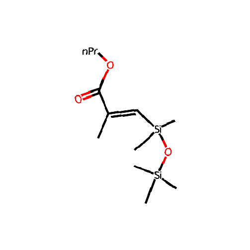 CCCOC(=O)C(C)=C[Si](C)(C)O[Si](C)(C)C